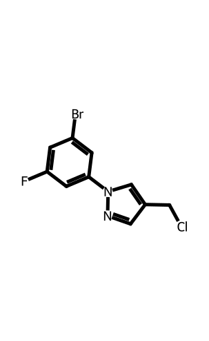 Fc1cc(Br)cc(-n2cc(CCl)cn2)c1